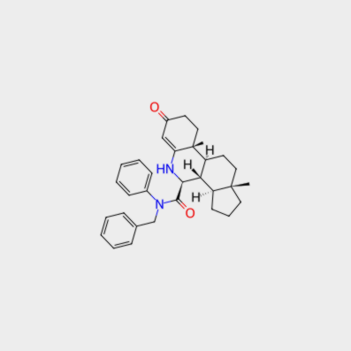 C[C@@]12CCC[C@H]1[C@@H]1[C@@H](C(=O)N(Cc3ccccc3)c3ccccc3)NC3=CC(=O)CC[C@]3(C)[C@H]1CC2